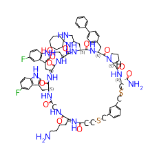 NCCCC[C@@H]1NC(=O)CCSCc2cccc(c2)CSC[C@@H](C(N)=O)NC(=O)[C@@H]2CCCN2C(=O)[C@H](Cc2ccc(-c3ccccc3)cc2)NC(=O)[C@H](CC2CNC3(CCCCCC3)N2)NC(=O)[C@H](CC(=O)O)NC(=O)[C@H](Cc2c[nH]c3ccc(F)cc23)NC(=O)[C@H](Cc2c[nH]c3ccc(F)cc23)NC(=O)CNC1=O